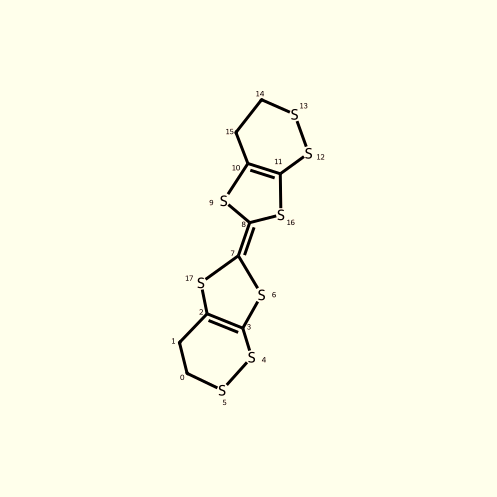 C1CC2=C(SS1)SC(=C1SC3=C(SSCC3)S1)S2